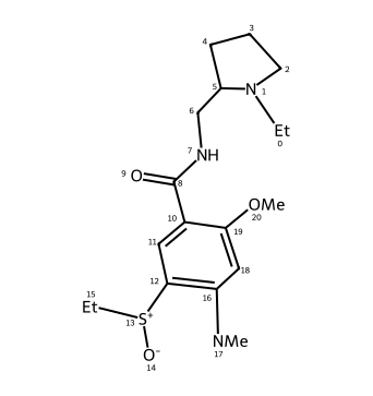 CCN1CCCC1CNC(=O)c1cc([S+]([O-])CC)c(NC)cc1OC